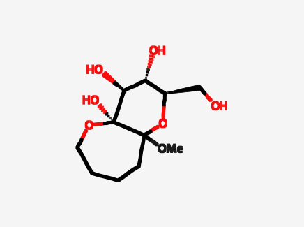 COC12CCCCO[C@@]1(O)[C@@H](O)[C@H](O)[C@@H](CO)O2